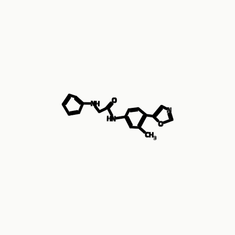 Cc1cc(NC(=O)CNc2ccccc2)ccc1-c1cnco1